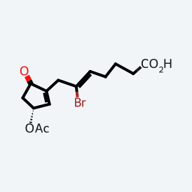 CC(=O)O[C@H]1C=C(C/C(Br)=C/CCCC(=O)O)C(=O)C1